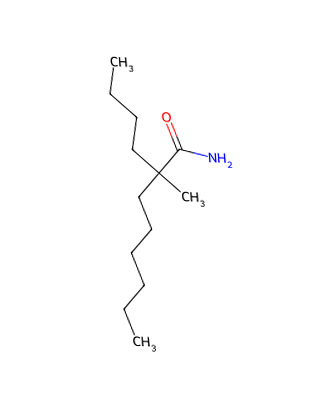 CCCCCCC(C)(CCCC)C(N)=O